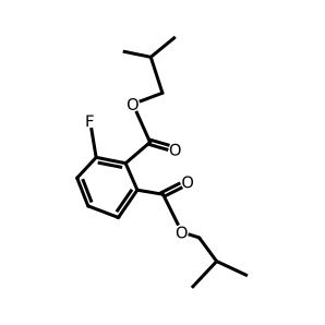 CC(C)COC(=O)c1cccc(F)c1C(=O)OCC(C)C